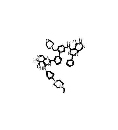 CCN1CCN(c2ccc(Nc3nc(-c4cccc(-c5cc(Nc6nc(-c7ccccc7)nc7cn[nH]c(=O)c67)ccc5CN5CCOCC5)c4)nc4cn[nH]c(=O)c34)cc2)CC1